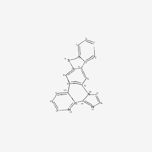 c1ccc2c(c1)sc1cc3c4cccnc4c4nccn4c3cc12